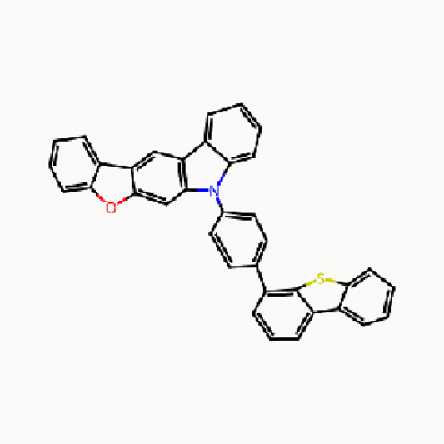 c1ccc2c(c1)oc1cc3c(cc12)c1ccccc1n3-c1ccc(-c2cccc3c2sc2ccccc23)cc1